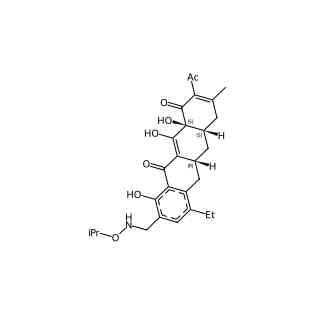 CCc1cc(CNOC(C)C)c(O)c2c1C[C@H]1C[C@H]3CC(C)=C(C(C)=O)C(=O)[C@@]3(O)C(O)=C1C2=O